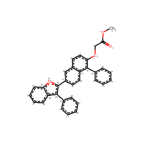 COC(=O)COc1ccc2cc(-c3oc4ccccc4c3-c3ccccc3)ccc2c1-c1ccccc1